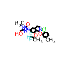 CCn1c(CO)nn(-c2cc(O[C@@H](C)C(F)(F)F)c3c(Oc4cc(C)ccc4Cl)nccc3c2)c1=O